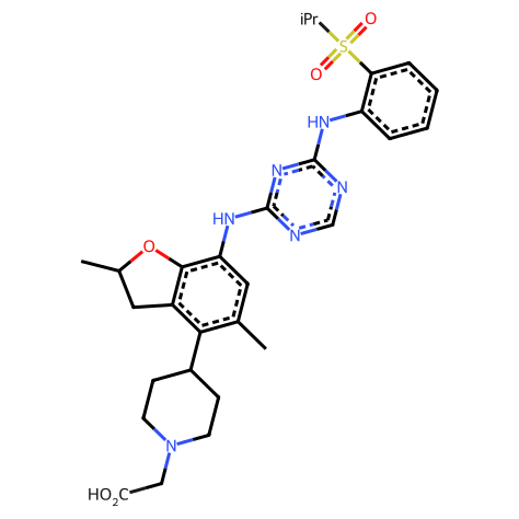 Cc1cc(Nc2ncnc(Nc3ccccc3S(=O)(=O)C(C)C)n2)c2c(c1C1CCN(CC(=O)O)CC1)CC(C)O2